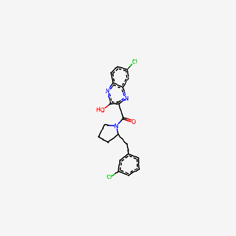 O=C(c1nc2cc(Cl)ccc2nc1O)N1CCCC1Cc1cccc(Cl)c1